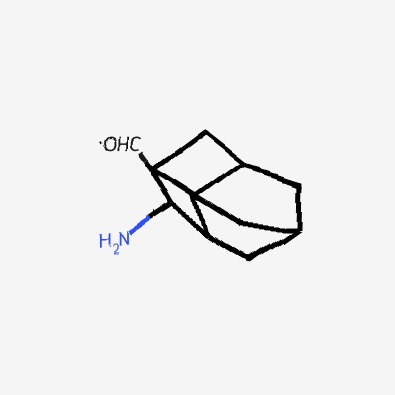 NC1C2CC3CC(C2)CC1([C]=O)C3